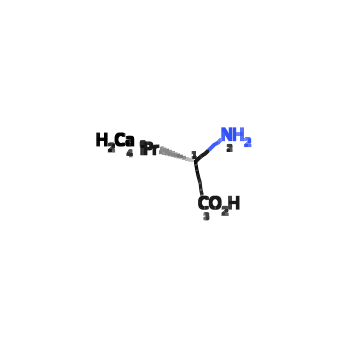 CC(C)[C@H](N)C(=O)O.[CaH2]